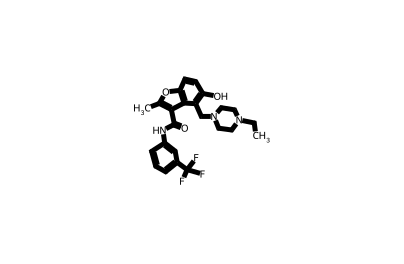 CCN1CCN(Cc2c(O)ccc3oc(C)c(C(=O)Nc4cccc(C(F)(F)F)c4)c23)CC1